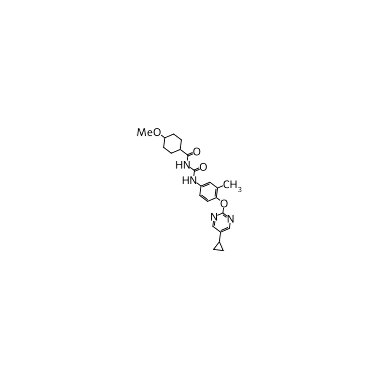 COC1CCC(C(=O)NC(=O)Nc2ccc(Oc3ncc(C4CC4)cn3)c(C)c2)CC1